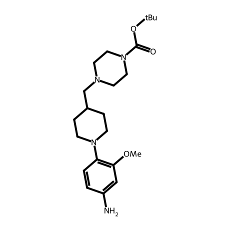 COc1cc(N)ccc1N1CCC(CN2CCN(C(=O)OC(C)(C)C)CC2)CC1